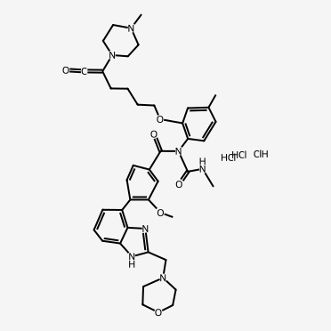 CNC(=O)N(C(=O)c1ccc(-c2cccc3[nH]c(CN4CCOCC4)nc23)c(OC)c1)c1ccc(C)cc1OCCCCC(=C=O)N1CCN(C)CC1.Cl.Cl.Cl